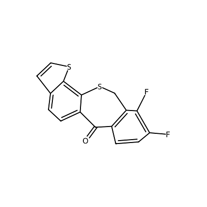 O=C1c2ccc(F)c(F)c2CSc2c1ccc1ccsc21